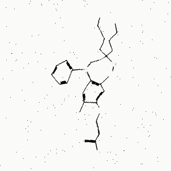 CCCCC1(CCCC)CN(c2ccccc2)c2cc(Cl)c(OCCC(=O)O)cc2SN1